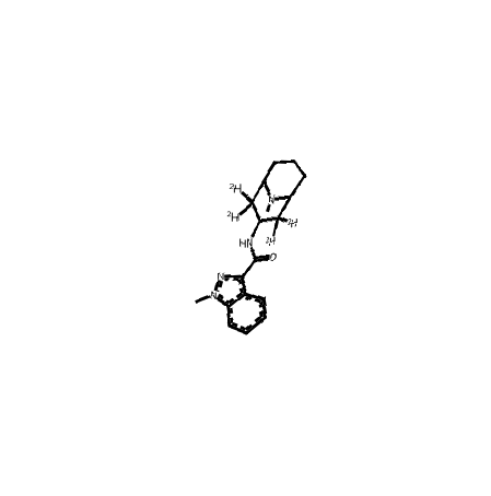 [2H]C1([2H])C2CCCC(N2C)C([2H])([2H])C1NC(=O)c1nn(C)c2ccccc12